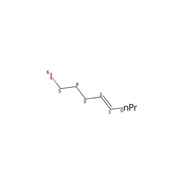 CCC/C=C/CCCI